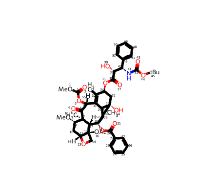 COC(=O)O[C@H]1C(=O)[C@]2(C)[C@@H](OC)C[C@H]3OC[C@@]3(OC(C)=O)[C@H]2[C@]2(OC(=O)c3ccccc3)C[C@@]3(C)C1=C(C)[C@@H](OC(=O)[C@H](O)[C@@H](NC(=O)OC(C)(C)C)c1ccccc1)C[C@]32O